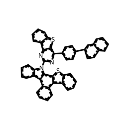 c1ccc2cc(-c3ccc(-c4nc(-n5c6ccccc6c6c7ccccc7c7c8ccccc8sc7c65)nc5c4sc4ccccc45)cc3)ccc2c1